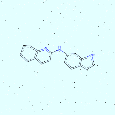 c1ccc2nc(Nc3ccc4cc[nH]c4c3)ccc2c1